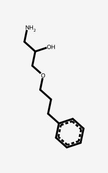 NCC(O)COCCCc1ccccc1